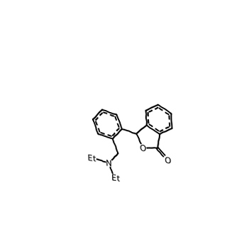 CCN(CC)Cc1ccccc1C1OC(=O)c2ccccc21